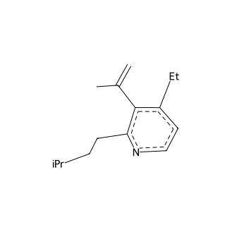 C=C(C)c1c(CC)ccnc1CCC(C)C